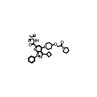 CS(=O)(=O)NC(=O)c1cc(N2CCC(OCC(=O)N3CCCC3)CC2)c2c(C3CCC3)nn(-c3ccccc3)c2n1